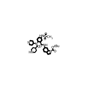 CC(C)(C)OC(=O)n1ccc2ccc(NC(=O)c3cc(NS(C)(=O)=O)ccc3N(C(=O)C3CCNCC3)c3ccncc3)cc21